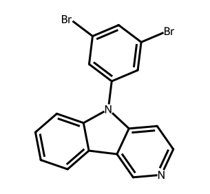 Brc1cc(Br)cc(-n2c3ccccc3c3cnccc32)c1